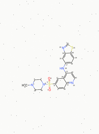 CN1CCN(S(=O)(=O)c2ccc3nccc(Nc4ccc5scnc5c4)c3c2)CC1